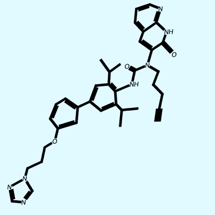 C#CCCCN(C(=O)Nc1c(C(C)C)cc(-c2cccc(OCCCn3cncn3)c2)cc1C(C)C)c1cc2cccnc2[nH]c1=O